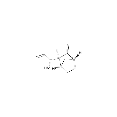 C=CC(O)[C@@]1(C)C(=C)[C@@H]2CC[C@H]1C2